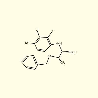 Cc1c(N[C@@H](C(=O)O)[C@H](OCc2ccccc2)C(F)(F)F)ccc(C#N)c1Cl